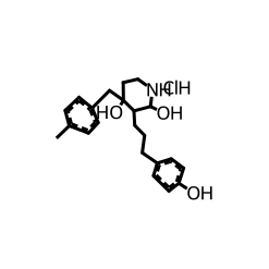 Cc1ccc(CC2(O)CCNC(O)C2CCCc2ccc(O)cc2)cc1.Cl